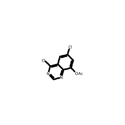 CC(=O)Oc1cc(Cl)cc2c(Cl)ncnc12